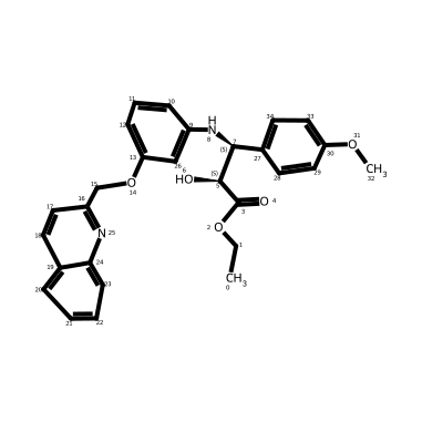 CCOC(=O)[C@@H](O)[C@@H](Nc1cccc(OCc2ccc3ccccc3n2)c1)c1ccc(OC)cc1